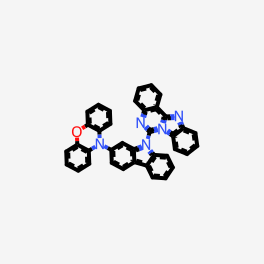 c1ccc2c(c1)Oc1ccccc1N2c1ccc2c3ccccc3n(-c3nc4ccccc4c4nc5ccccc5n34)c2c1